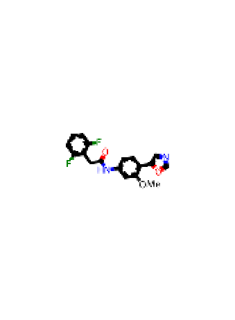 COc1cc(NC(=O)Cc2c(F)cccc2F)ccc1-c1cnco1